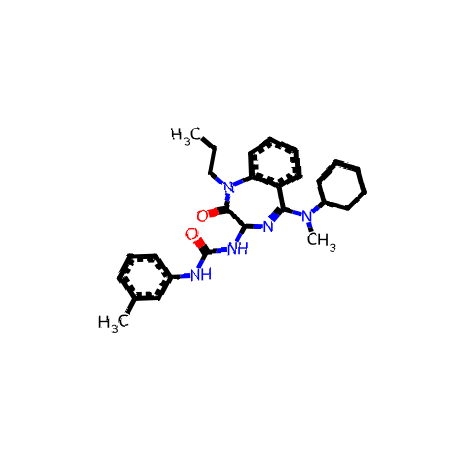 CCCN1C(=O)C(NC(=O)Nc2cccc(C)c2)N=C(N(C)C2CCCCC2)c2ccccc21